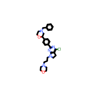 Clc1nc(-c2ccc(C3CN(Cc4ccccc4)CCO3)cc2)nc2c1CCN2CCCN1CCOCC1